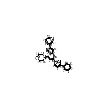 c1ccc(-c2ccn(-c3cc(N4CCOCC4)n4nc(-c5cnccn5)cc4n3)n2)cc1